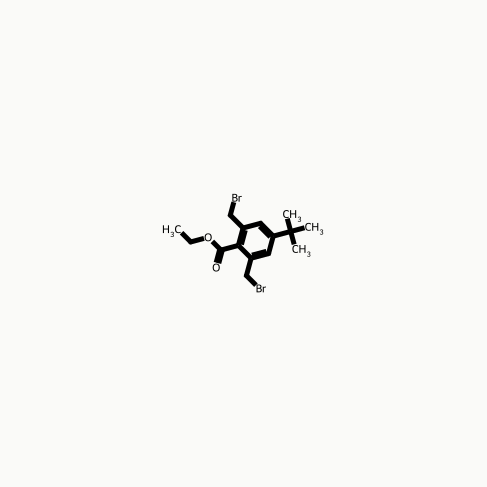 CCOC(=O)c1c(CBr)cc(C(C)(C)C)cc1CBr